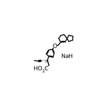 CC#C[C@@H](CC(=O)O)c1ccc(OCC2=CC3(CCCC3)CCC2)cc1.[NaH]